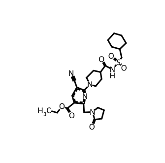 CCOC(=O)c1cc(C#N)c(N2CCC(C(=O)NS(=O)(=O)CC3CCCCC3)CC2)nc1CN1CCCC1=O